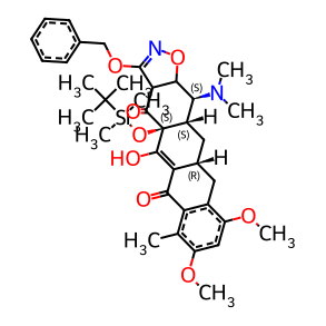 COc1cc(OC)c2c(c1C)C(=O)C1=C(O)[C@]3(O[Si](C)(C)C(C)(C)C)C(=O)C4C(OCc5ccccc5)=NOC4[C@@H](N(C)C)[C@@H]3C[C@@H]1C2